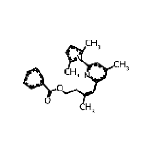 C/C(=C/c1cc(C)cc(-n2c(C)ccc2C)n1)CCOC(=O)c1ccccc1